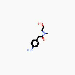 CN(CCO)C(=O)Cc1ccc(N)cc1